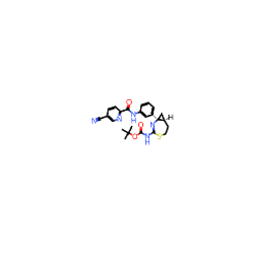 CC(C)(C)OC(=O)NC1=N[C@@]2(c3cccc(NC(=O)c4ccc(C#N)cn4)c3)C[C@H]2CCS1